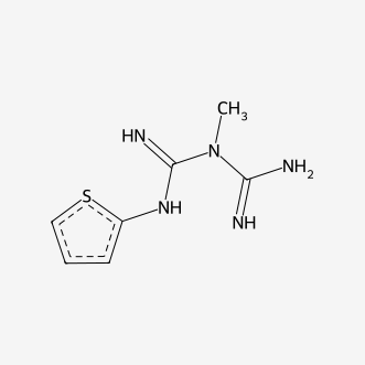 CN(C(=N)N)C(=N)Nc1cccs1